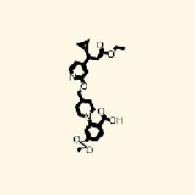 CCOC(=O)CC(c1ccnc(OCC2CCN(c3cc(S(C)(=O)=O)ccc3C(=O)O)CC2)c1)C1CC1